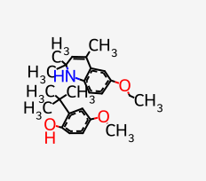 CCOc1ccc2c(c1)C(C)=CC(C)(C)N2.COc1ccc(O)c(C(C)(C)C)c1